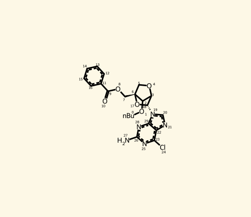 CCCCOC1C2OC[C@@]1(COC(=O)c1ccccc1)O[C@H]2n1cnc2c(Cl)nc(N)nc21